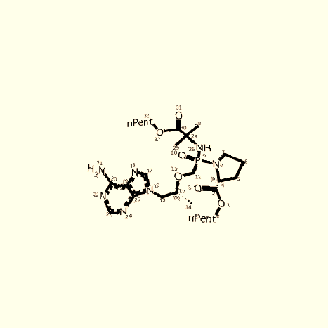 CCCCCOC(=O)[C@H]1CCCN1P(=O)(CO[C@H](C)Cn1cnc2c(N)ncnc21)NC(C)(C)C(=O)OCCCCC